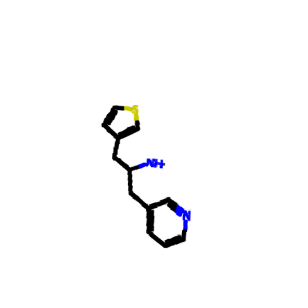 [NH]C(Cc1cccnc1)Cc1ccsc1